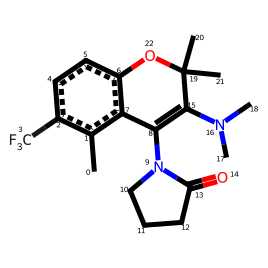 Cc1c(C(F)(F)F)ccc2c1C(N1CCCC1=O)=C(N(C)C)C(C)(C)O2